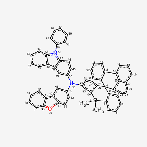 C[Si]1(C)c2ccccc2C2(c3ccccc3-c3cccc4cccc2c34)c2ccc(N(c3ccc4oc5ccccc5c4c3)c3ccc4c(c3)c3ccccc3n4-c3ccccc3)cc21